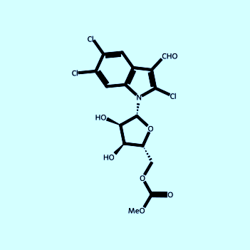 COC(=O)OC[C@H]1O[C@@H](n2c(Cl)c(C=O)c3cc(Cl)c(Cl)cc32)[C@H](O)[C@@H]1O